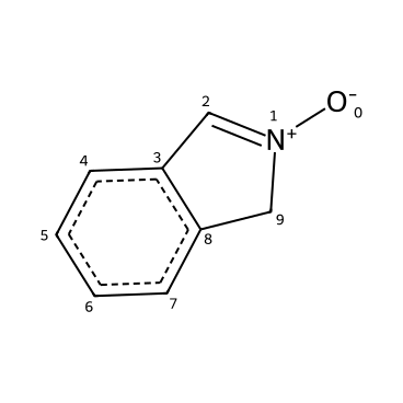 [O-][N+]1=Cc2ccccc2C1